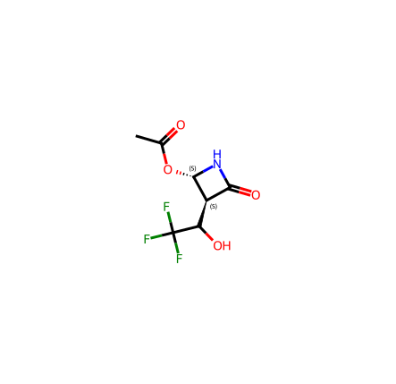 CC(=O)O[C@@H]1NC(=O)[C@H]1C(O)C(F)(F)F